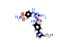 Nc1nc(Nc2ccc(S(N)(=O)=O)cc2)nn1C(=O)Nc1ccc(-c2cncc(C(=O)O)n2)cc1